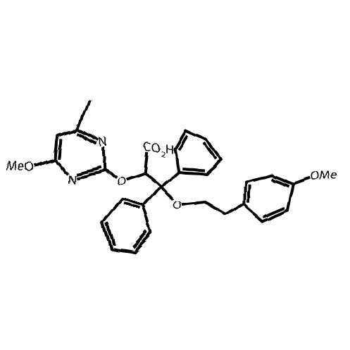 COc1ccc(CCOC(c2ccccc2)(c2ccccc2)C(Oc2nc(C)cc(OC)n2)C(=O)O)cc1